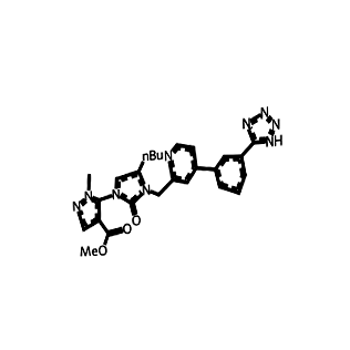 CCCCc1cn(-c2c(C(=O)OC)cnn2C)c(=O)n1Cc1cc(-c2cccc(-c3nnn[nH]3)c2)ccn1